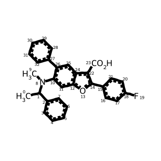 CC(c1ccccc1)N(C)c1cc2oc(-c3ccc(F)cc3)c(C(=O)O)c2cc1-c1ccccc1